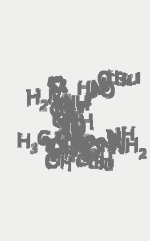 Cc1cc(O)cc(C)c1C[C@H](NC(=O)[C@@H](CCCNC(=N)N)NC(=O)OC(C)(C)C)C(=O)N[C@@H](CCCCCNC(=O)OC(C)(C)C)C(=O)N[C@@H](Cc1ccccc1)C(N)=O